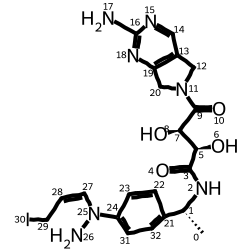 C[C@@H](NC(=O)[C@H](O)[C@@H](O)C(=O)N1Cc2cnc(N)nc2C1)c1ccc(N(N)/C=C\CI)cc1